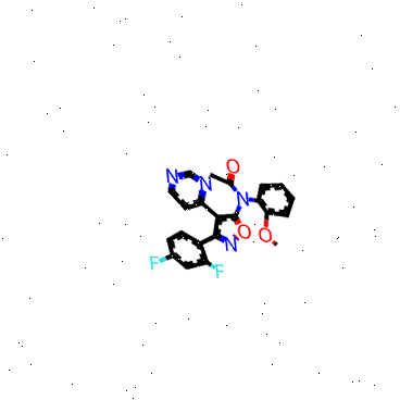 COc1ccccc1N(C(C)=O)c1onc(-c2ccc(F)cc2F)c1-c1ccncn1